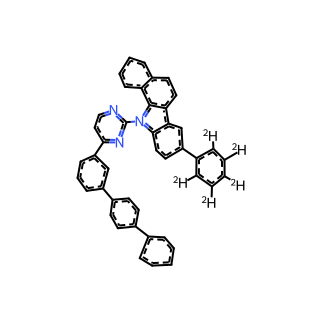 [2H]c1c([2H])c([2H])c(-c2ccc3c(c2)c2ccc4ccccc4c2n3-c2nccc(-c3cccc(-c4ccc(-c5ccccc5)cc4)c3)n2)c([2H])c1[2H]